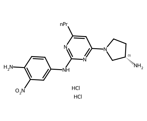 CCCc1cc(N2CC[C@H](N)C2)nc(Nc2ccc(N)c([N+](=O)[O-])c2)n1.Cl.Cl